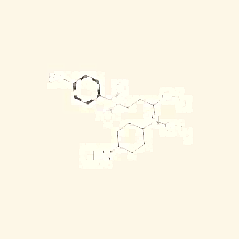 CC(CCS(=O)(=O)c1ccc(Br)cc1)N(C)C1CCC(N)CC1